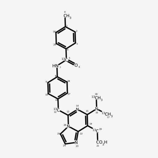 Cc1ccc([13C](=O)Nc2ccc([13CH2]c3nc(N([13CH3])[13CH3])c([13CH2][13C](=O)O)c4nccn34)cc2)cc1